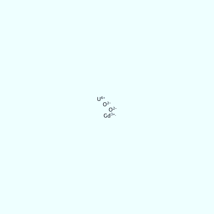 [Gd+3].[O-2].[O-2].[U+6]